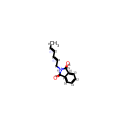 C/C=C/C=C/CN1C(=O)c2ccccc2C1=O